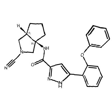 N#CN1C[C@@H]2CCC[C@]2(NC(=O)c2cc(-c3ccccc3Oc3ccccc3)[nH]n2)C1